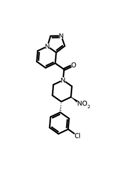 O=C(c1cccn2cncc12)N1CC[C@@H](c2cccc(Cl)c2)[C@H]([N+](=O)[O-])C1